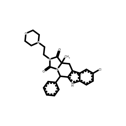 CC12Cc3c([nH]c4ccc(Cl)cc34)C(c3ccccc3)N1C(=O)N(CCN1CCOCC1)C2=O